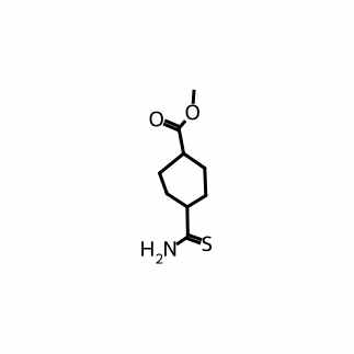 COC(=O)C1CCC(C(N)=S)CC1